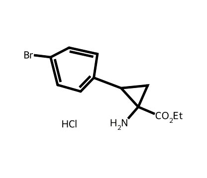 CCOC(=O)C1(N)CC1c1ccc(Br)cc1.Cl